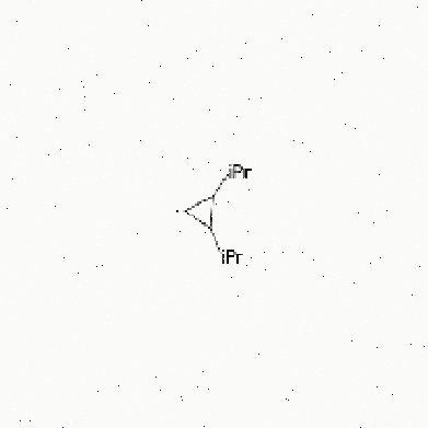 CC(C)C1[CH]C1C(C)C